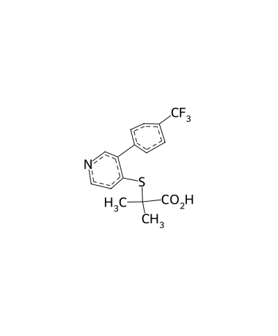 CC(C)(Sc1ccncc1-c1ccc(C(F)(F)F)cc1)C(=O)O